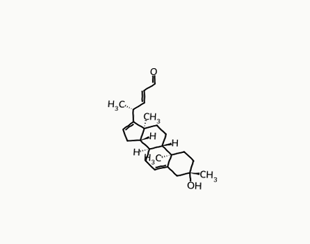 C[C@H](/C=C/C=O)C1=CC[C@H]2[C@@H]3CC=C4C[C@@](C)(O)CC[C@]4(C)[C@H]3CC[C@]12C